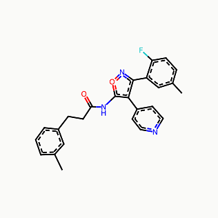 Cc1cccc(CCC(=O)Nc2onc(-c3cc(C)ccc3F)c2-c2ccncc2)c1